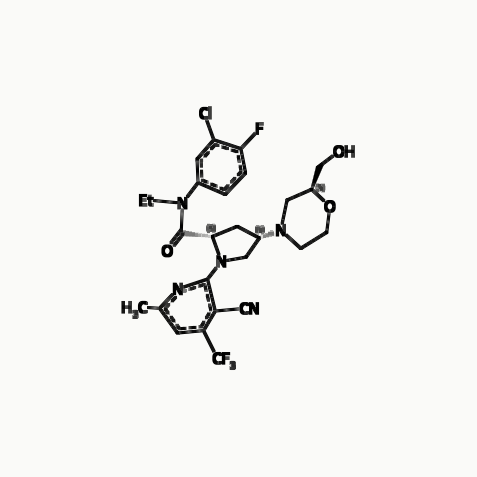 CCN(C(=O)[C@@H]1C[C@H](N2CCO[C@H](CO)C2)CN1c1nc(C)cc(C(F)(F)F)c1C#N)c1ccc(F)c(Cl)c1